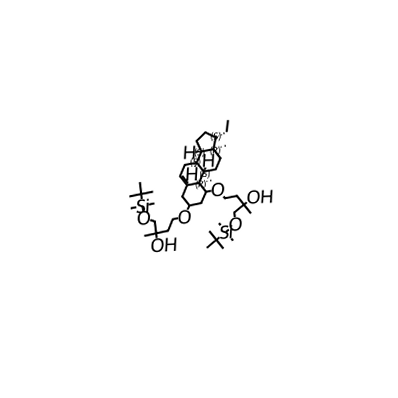 CC[C@H]1CC[C@H]2[C@@H]3CC=C4CC(OCCC(C)(O)CO[Si](C)(C)C(C)(C)C)CC(OCCC(C)(O)CO[Si](C)(C)C(C)(C)C)[C@]4(C)[C@H]3CC[C@]12C